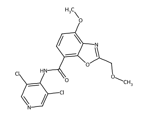 COCc1nc2c(OC)ccc(C(=O)Nc3c(Cl)cncc3Cl)c2o1